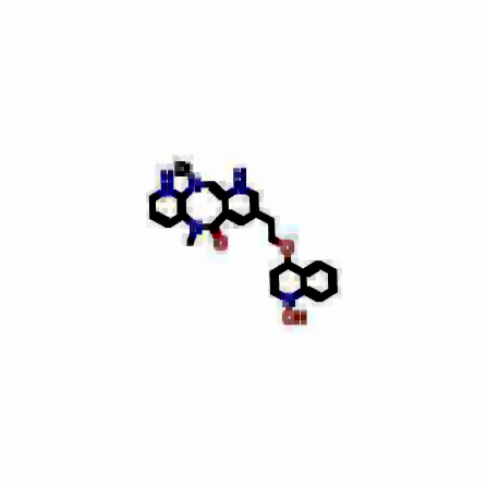 CCn1cc2[nH]cc(CCOC3C=CN(O)c4ccccc43)cc-2c(=O)n(C)c2c1NCC=C2